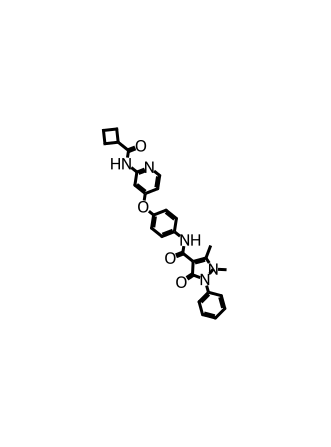 Cc1c(C(=O)Nc2ccc(Oc3ccnc(NC(=O)C4CCC4)c3)cc2)c(=O)n(-c2ccccc2)n1C